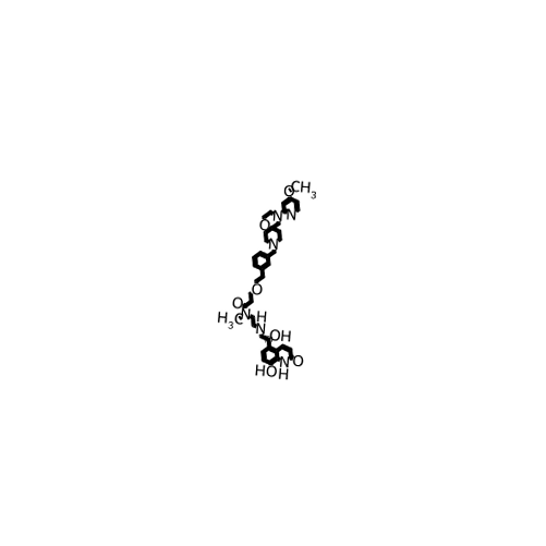 COc1ccnc(N2CCOC3(CCN(Cc4cccc(CCOCCC(=O)N(C)CCNC[C@H](O)c5ccc(O)c6[nH]c(=O)ccc56)c4)CC3)C2)c1